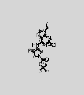 CCn1cnc2c(N[C@@H]3CN(C(=O)OC(C)(C)C)C[C@H]3F)nc(Cl)nc21